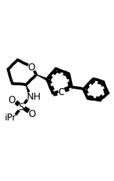 CC(C)S(=O)(=O)N[C@H]1CCCO[C@H]1c1ccc(-c2ccccc2)cc1